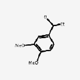 CCC([O])c1ccc(OC)c(OC)c1